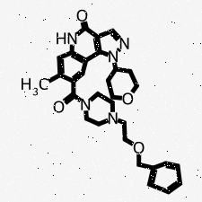 Cc1cc2[nH]c(=O)c3cnn(C4CCOCC4)c3c2cc1C(=O)N1CCN(CCOCc2ccccc2)CC1